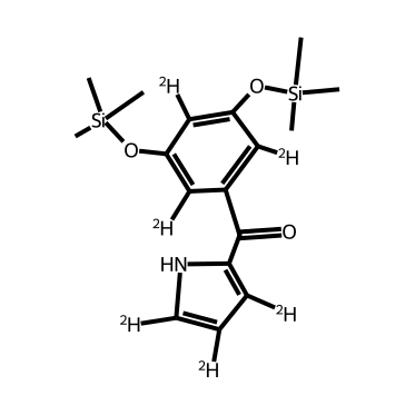 [2H]c1[nH]c(C(=O)c2c([2H])c(O[Si](C)(C)C)c([2H])c(O[Si](C)(C)C)c2[2H])c([2H])c1[2H]